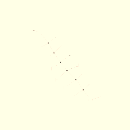 O=C(O)OC(F)(F)C(F)(F)C(F)(F)C(F)(F)C(F)(F)C(F)(F)OC(=O)O